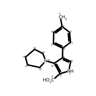 Cc1ccc(-c2c[nH]c(C(=O)O)c2N2CCCCC2)cc1